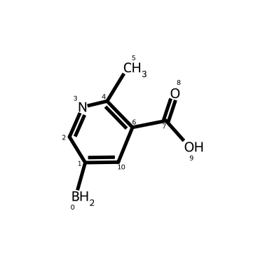 Bc1cnc(C)c(C(=O)O)c1